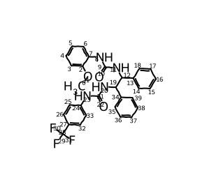 COc1ccccc1NC(=O)NC(c1ccccc1)C(NC(=O)Nc1ccc(C(F)(F)F)cc1)c1ccccc1